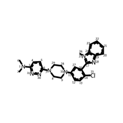 CN(C)c1ccc(N2CCN(c3ccc(Cl)c(-c4nc5ccccc5n4C)c3)CC2)nn1